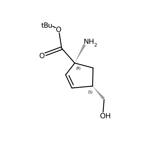 CC(C)(C)OC(=O)[C@]1(N)C=C[C@@H](CO)C1